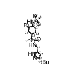 C[C@H](C(=O)NCc1cc(C(C)(C)C)n[nH]1)c1ccc(NS(C)(=O)=O)c(F)c1